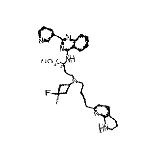 O=C(O)[C@H](CCN(CCCCc1ccc2c(n1)NCCC2)C1CC(F)(F)C1)Nc1nc(-c2cccnc2)nc2ccccc12